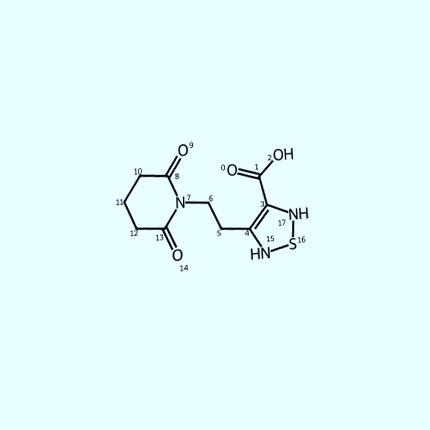 O=C(O)C1=C(CCN2C(=O)CCCC2=O)NSN1